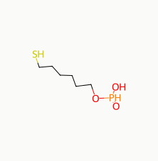 O=[PH](O)OCCCCCCS